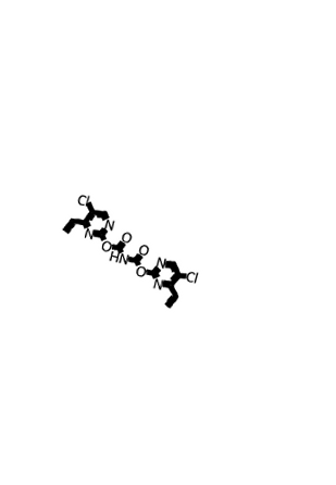 C=Cc1nc(OC(=O)NC(=O)Oc2ncc(Cl)c(C=C)n2)ncc1Cl